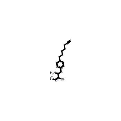 C#CCCCCCc1ccc(CC(N)/C(O)=C\CC)cc1